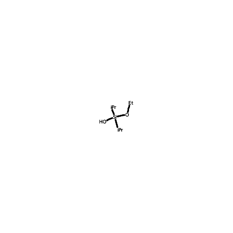 CCO[Si](O)(C(C)C)C(C)C